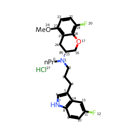 CCCN(CCCc1c[nH]c2ccc(F)cc12)[C@H]1COc2c(F)ccc(OC)c2C1.Cl